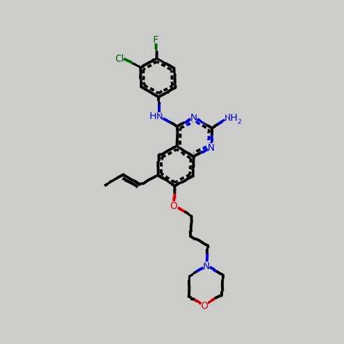 CC=Cc1cc2c(Nc3ccc(F)c(Cl)c3)nc(N)nc2cc1OCCCN1CCOCC1